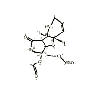 O=COC[C@@]12O[C@H]3C=CCN[C@H]3C1C(=O)N[C@H]2OC=O